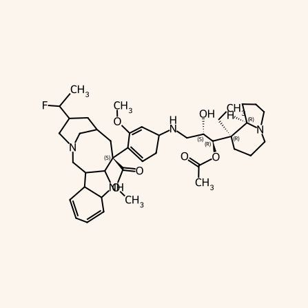 CC[C@@]1([C@@H](OC(C)=O)[C@@H](O)CNC2C=C(OC)C([C@@]3(C(=O)OC)CC4CC(C(C)F)CN(C4)CC4C5C=CC=CC5NC43)=CC2)CCCN2CCC[C@@H]21